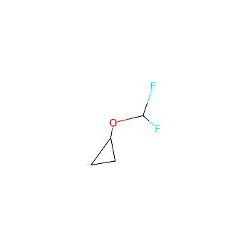 FC(F)OC1[CH]C1